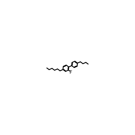 CCCCCCc1ccc(-c2ccc(CCCC)cc2)c(F)c1